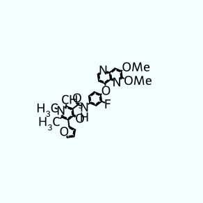 COc1cc2nccc(Oc3ccc(NC(=O)c4c(C)n(C)c(C)c(-c5ccco5)c4=O)cc3F)c2nc1OC